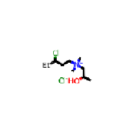 CCC(Cl)CC[N+](C)(C)CC(C)O.[Cl-]